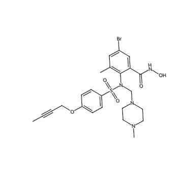 CC#CCOc1ccc(S(=O)(=O)N(CN2CCN(C)CC2)c2c(C)cc(Br)cc2C(=O)NO)cc1